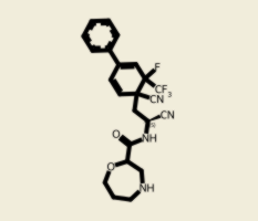 N#C[C@H](CC1(C#N)C=CC(c2ccccc2)=CC1(F)C(F)(F)F)NC(=O)C1CNCCCO1